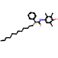 CCCCCCCCCCCC[C@H](C(=S)Nc1cc(C)c(O)c(C)c1C)c1ccccc1